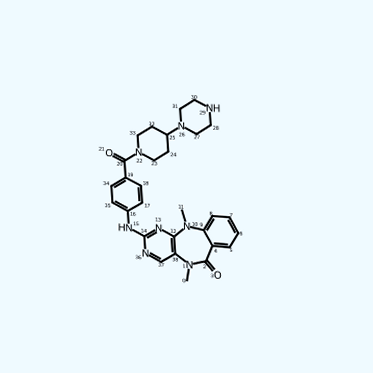 CN1C(=O)c2ccccc2N(C)c2nc(Nc3ccc(C(=O)N4CCC(N5CCNCC5)CC4)cc3)ncc21